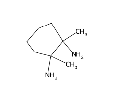 CC1(N)CCCCC1(C)N